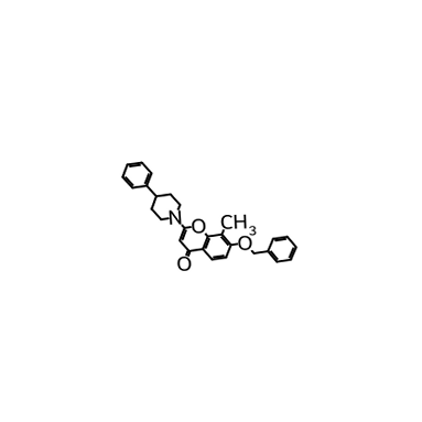 Cc1c(OCc2ccccc2)ccc2c(=O)cc(N3CCC(c4ccccc4)CC3)oc12